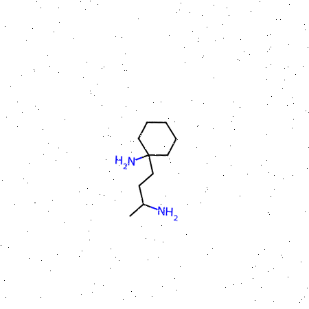 CC(N)CCC1(N)CCCCC1